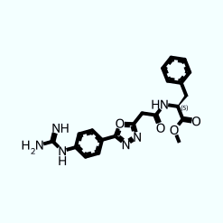 COC(=O)[C@H](Cc1ccccc1)NC(=O)Cc1nnc(-c2ccc(NC(=N)N)cc2)o1